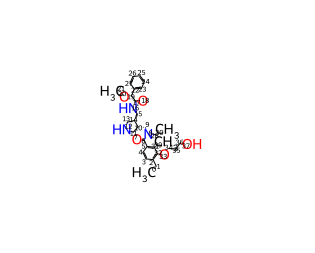 CCc1ccc(C(=O)N(C[C@@H]2CNC[C@H]2CNC(=O)[C@H](OC)c2ccccc2)C(C)C)cc1OCCCO